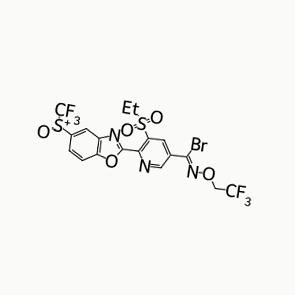 CCS(=O)(=O)c1cc(C(Br)=NOCC(F)(F)F)cnc1-c1nc2cc([S+]([O-])C(F)(F)F)ccc2o1